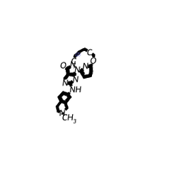 CN1CCc2ccc(Nc3ncc4c(=O)n5n(c4n3)-c3cccc(n3)OCCC/C=C\C5)cc2C1